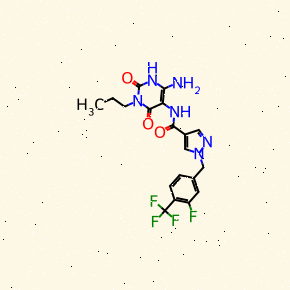 CCCn1c(=O)[nH]c(N)c(NC(=O)c2cnn(Cc3ccc(C(F)(F)F)c(F)c3)c2)c1=O